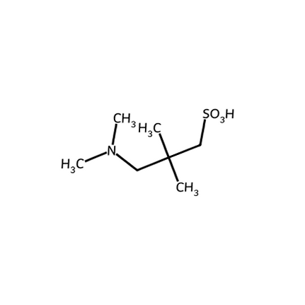 CN(C)CC(C)(C)CS(=O)(=O)O